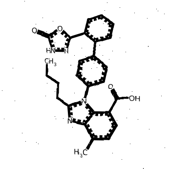 CCCCc1nc2c(C)ccc(C(=O)O)c2n1-c1ccc(-c2ccccc2-c2n[nH]c(=O)o2)cc1